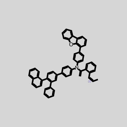 C=C(c1ccccc1/C=C\C)N(c1ccc(-c2ccc(-c3cccc4ccccc34)c(-c3ccccc3)c2)cc1)c1ccc(-c2cccc3c2oc2ccccc23)cc1